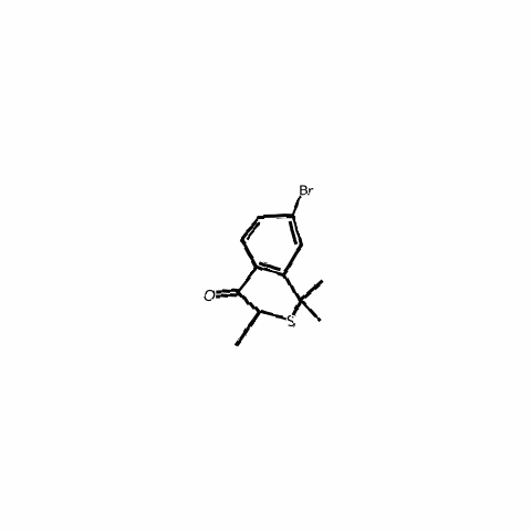 CC1SC(C)(C)c2cc(Br)ccc2C1=O